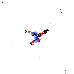 CCOC(=O)c1c(-c2ccc(OCc3ccc(C(C)C)cc3)cc2)c(-c2ncnc3c2ccn3COCCSC(C)C)nn1CCNC(=O)OC(C)(C)C